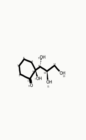 O=C1CCCC[C@]1(O)[C@H](O)[C@H](O)CO